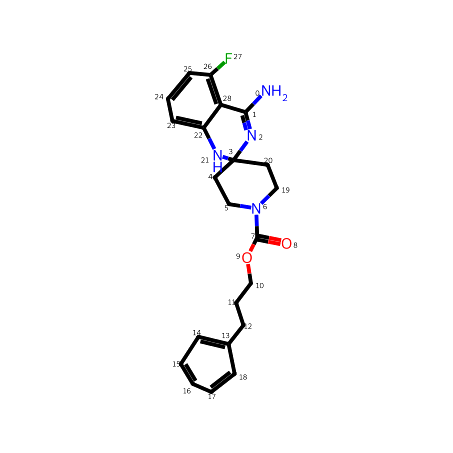 NC1=NC2(CCN(C(=O)OCCCc3ccccc3)CC2)Nc2cccc(F)c21